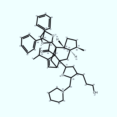 CC(C)C1=CC2CC3(C4OCCO4)[C@@H]4CC[C@@H](C)[C@H]4CC2(C2CC(CCCO)C(CN4CCCCC4)O2)C13C(=O)OC(c1ccccc1)c1ccccc1